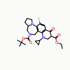 CCOC(=O)C1CN(C2CC2)c2c(cc(F)c3c2CN(C(=O)OC(C)(C)C)CC2CCCN32)C1=O